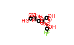 COc1cc([C@@H]2Oc3cc([C@@H]4Oc5cc(O)cc(O)c5C(=O)[C@H]4O)ccc3O[C@H]2COC(=O)c2ccc(C(F)(F)F)cc2O)ccc1O